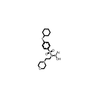 CC(=O)N(O)N(CCN1CCOCC1)S(=O)(=O)c1ccc(SC2CCCCC2)cc1